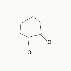 [O]C1CCCCC1=O